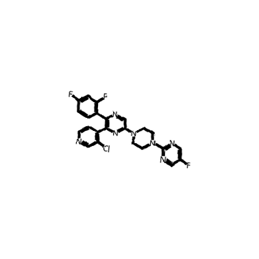 Fc1cnc(N2CCN(c3cnc(-c4ccc(F)cc4F)c(-c4ccncc4Cl)n3)CC2)nc1